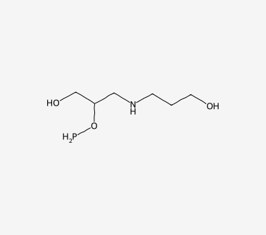 OCCCNCC(CO)OP